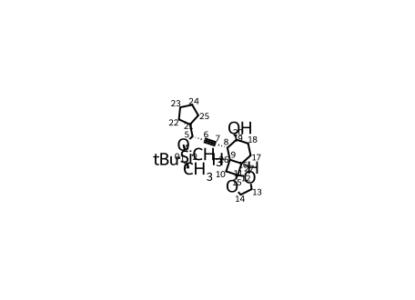 CC(C)(C)[Si](C)(C)O[C@@H](C#C[C@H]1[C@@H]2CC3(OCCO3)[C@@H]2CC[C@@H]1O)C1CCCC1